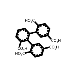 O=C(O)c1ccc(C(=O)O)c(-c2cccc(C(=O)O)c2-c2cc(C(=O)O)ccc2C(=O)O)c1